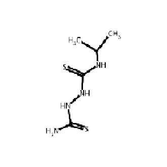 CC(C)NC(=S)NNC(N)=S